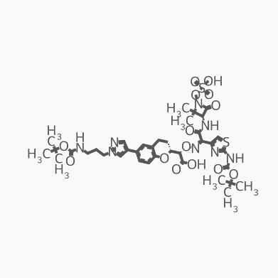 CC(C)(C)OC(=O)NCCCn1cc(-c2ccc3c(c2)CC[C@H]([C@H](O/N=C(\C(=O)N[C@@H]2C(=O)N(OS(=O)(=O)O)C2(C)C)c2csc(NC(=O)OC(C)(C)C)n2)C(=O)O)O3)cn1